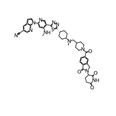 CNc1cc(-n2ccc3cc(C#N)cnc32)ncc1-c1nnc([C@H]2CC[C@H](N(C)CC3CCN(C(=O)c4ccc5c(c4)CN(C4CCC(=O)NC4=O)C5=O)CC3)CC2)s1